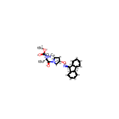 CC(C)(C)OC(=O)N[C@H](C(=O)N1C[C@H](ON=C2c3ccccc3-c3ccccc32)C[C@H]1C(=O)O)C(C)(C)C